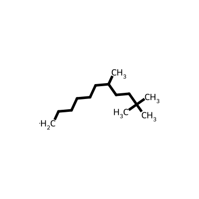 [CH2]CCCCCC(C)CCC(C)(C)C